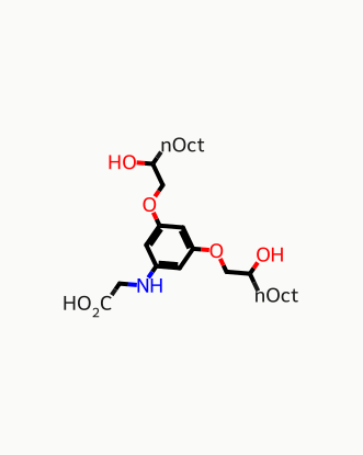 CCCCCCCCC(O)COc1cc(NCC(=O)O)cc(OCC(O)CCCCCCCC)c1